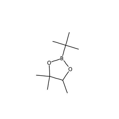 CC1OB(C(C)(C)C)OC1(C)C